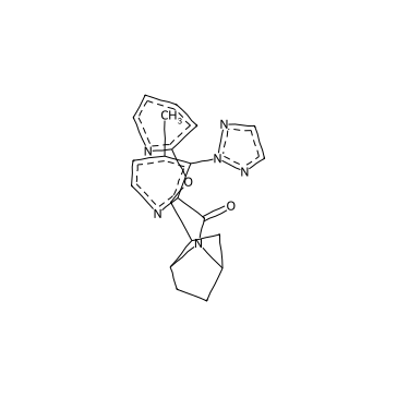 Cc1ccnc(C(=O)N2C3CCC2C(COc2ccccn2)C3)c1-n1nccn1